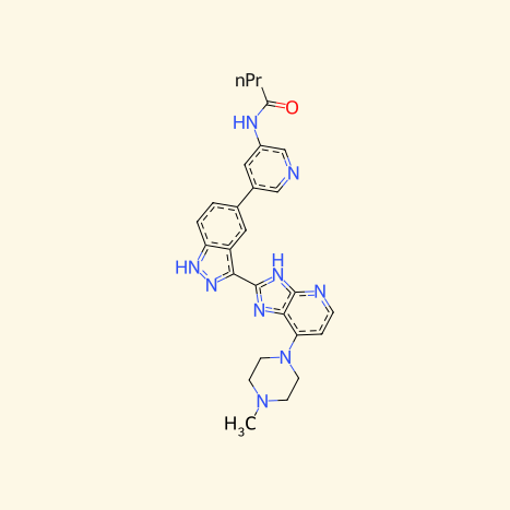 CCCC(=O)Nc1cncc(-c2ccc3[nH]nc(-c4nc5c(N6CCN(C)CC6)ccnc5[nH]4)c3c2)c1